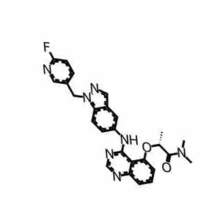 C[C@@H](Oc1cccc2ncnc(Nc3ccc4c(cnn4Cc4ccc(F)nc4)c3)c12)C(=O)N(C)C